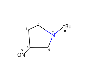 CC(C)(C)N1CCC(N=O)C1